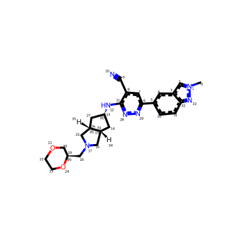 Cn1cc2cc(-c3cc(C#N)c(N[C@@H]4C[C@@H]5CN(C[C@@H]6COCCO6)C[C@@H]5C4)nn3)ccc2n1